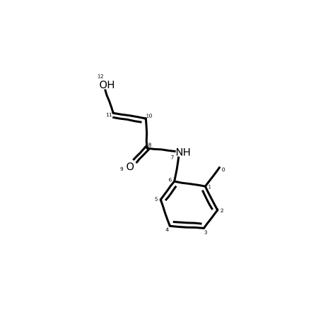 Cc1ccccc1NC(=O)/C=C/O